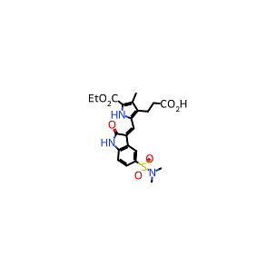 CCOC(=O)c1[nH]c(/C=C2\C(=O)Nc3ccc(S(=O)(=O)N(C)C)cc32)c(CCC(=O)O)c1C